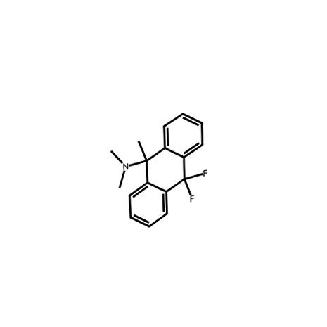 CN(C)C1(C)c2ccccc2C(F)(F)c2ccccc21